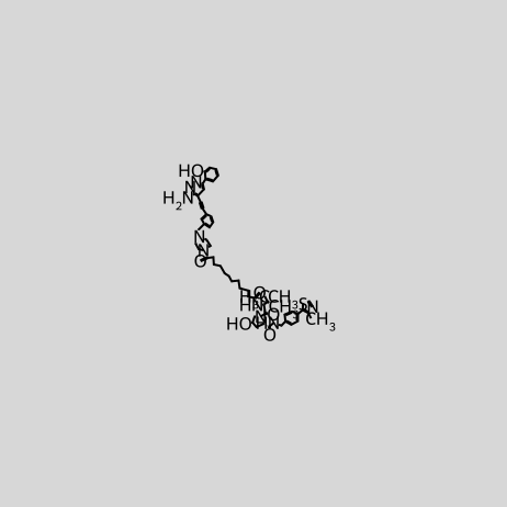 Cc1ncsc1-c1ccc(CNC(=O)[C@@H]2C[C@@H](O)CN2C(=O)C(NC(=O)CCCCCCCCCCC(=O)N2CCN(Cc3cccc(C#Cc4cc(-c5ccccc5O)nnc4N)c3)CC2)C(C)(C)C)cc1